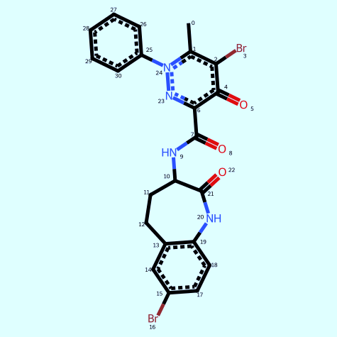 Cc1c(Br)c(=O)c(C(=O)NC2CCc3cc(Br)ccc3NC2=O)nn1-c1ccccc1